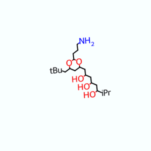 CC(C)C(O)CC(O)CC(O)CC1CC(CC(C)(C)C)OC(CCCN)O1